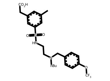 CCCCN(CCNS(=O)(=O)c1cc(C)cc(CC(=O)O)c1)Cc1ccc(OC(F)(F)F)cc1